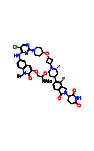 CNC(=O)COc1cc2cc(Nc3nc(N4CCC(O[C@H]5C[C@H](N6CC[C@H](c7ccc8c(c7F)CN([C@H]7CCC(=O)NC7=O)C8=O)C[C@H]6C)C5)CC4)ncc3Cl)ccc2n(C(C)C)c1=O